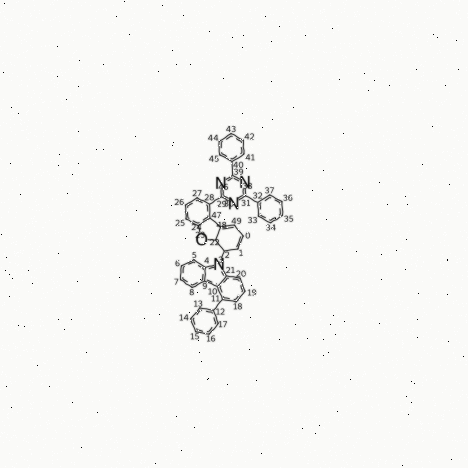 C1=CC(n2c3ccccc3c3c(-c4ccccc4)cccc32)C2Oc3cccc(-c4nc(-c5ccccc5)nc(-c5ccccc5)n4)c3C2=C1